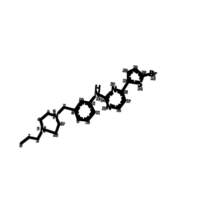 CCCN1CCN(Cc2cccc(Nc3nccc(-c4ccc(Br)s4)n3)c2)CC1